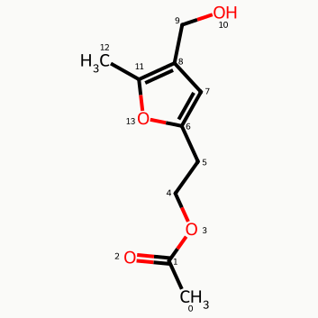 CC(=O)OCCc1cc(CO)c(C)o1